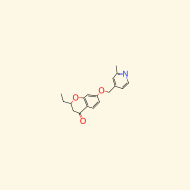 CCC1CC(=O)c2ccc(OCc3ccnc(C)c3)cc2O1